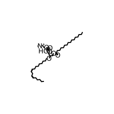 CCCCC/C=C\C/C=C\CCCCCCCCOC(COC(=O)CCCCCCCCCCCCCCC)COP(=O)(O)OCC[N+](C)(C)C